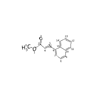 COC(=O)C=Nc1cccc2ccccc12